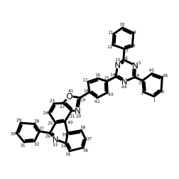 c1ccc(-c2nc(-c3ccccc3)nc(-c3ccc(-c4nc5c(ccc6c(-c7ccccc7)nc7ccccc7c65)o4)cc3)n2)cc1